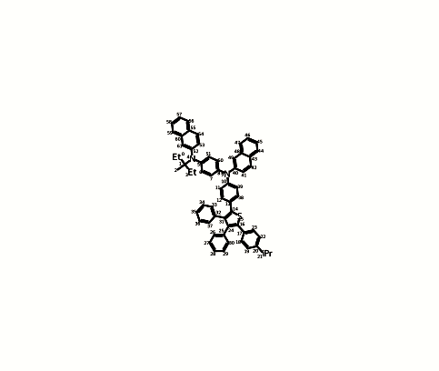 CCC(C)(CC)N(c1ccc(N(c2ccc(-c3sc(-c4ccc(C(C)C)cc4)c(-c4ccccc4)c3-c3ccccc3)cc2)c2ccc3ccccc3c2)cc1)c1ccc2ccccc2c1